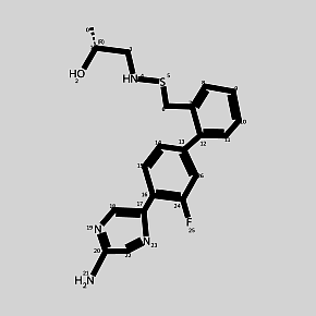 C[C@@H](O)CNSCc1ccccc1-c1ccc(-c2cnc(N)cn2)c(F)c1